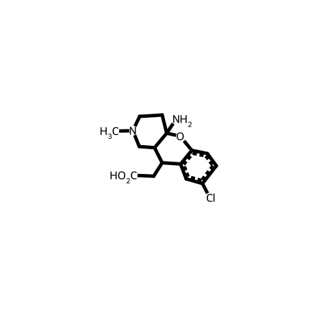 CN1CCC2(N)Oc3ccc(Cl)cc3C(CC(=O)O)C2C1